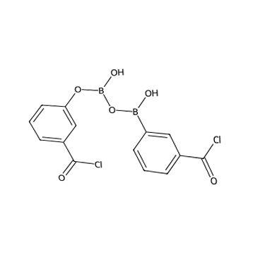 O=C(Cl)c1cccc(OB(O)OB(O)c2cccc(C(=O)Cl)c2)c1